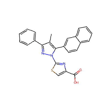 Cc1c(-c2ccccc2)nn(-c2nc(C(=O)O)cs2)c1-c1ccc2ccccc2c1